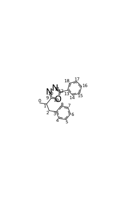 CC(Cc1ccccc1)c1nnc(-c2ccccc2)o1